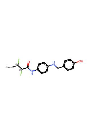 CCCCC[C@@H](F)[C@H](F)C(=O)Nc1ccc(NCc2ccc(O)cc2)cc1